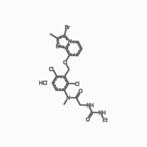 CCNC(=O)NCC(=O)N(C)c1ccc(Cl)c(COc2cccn3c(Br)c(C)nc23)c1Cl.Cl